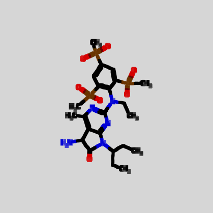 CCC(CC)N1C(=O)C(N)c2c(C)nc(N(CC)c3c(S(C)(=O)=O)cc(S(C)(=O)=O)cc3S(C)(=O)=O)nc21